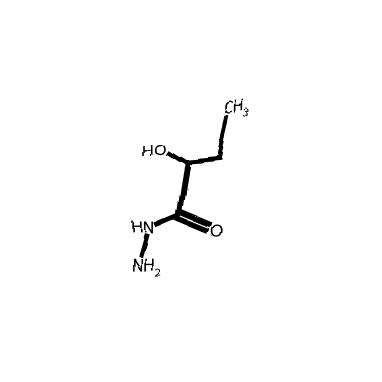 CCC(O)C(=O)NN